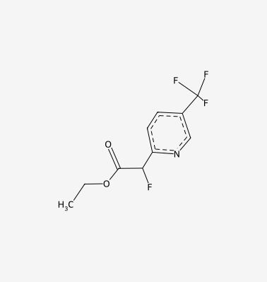 CCOC(=O)C(F)c1ccc(C(F)(F)F)cn1